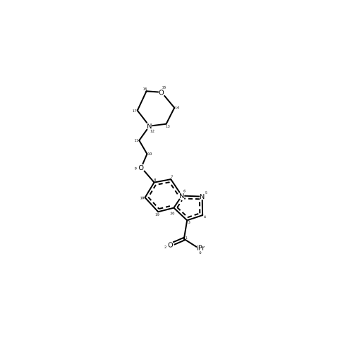 CC(C)C(=O)c1cnn2cc(OCCN3CCOCC3)ccc12